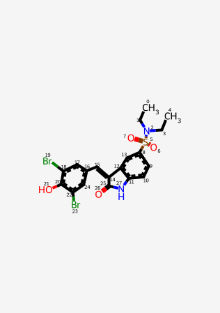 CCN(CC)S(=O)(=O)c1ccc2c(c1)C(=Cc1cc(Br)c(O)c(Br)c1)C(=O)N2